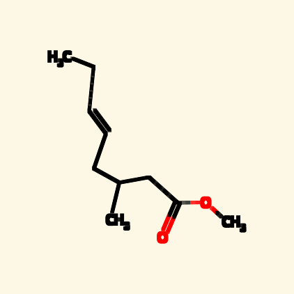 CCC=CCC(C)CC(=O)OC